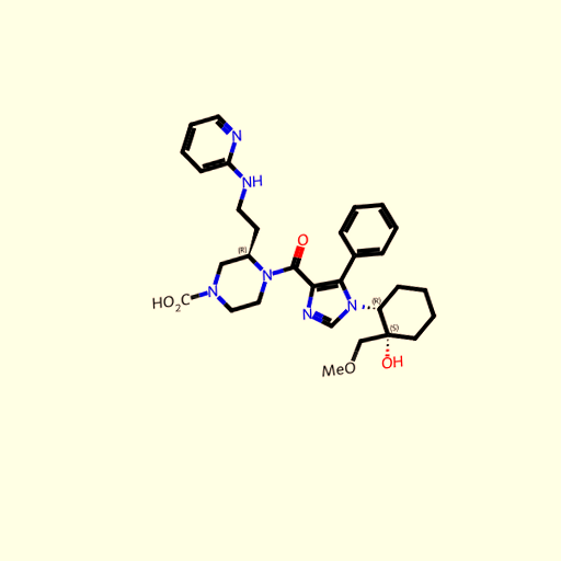 COC[C@]1(O)CCCC[C@H]1n1cnc(C(=O)N2CCN(C(=O)O)C[C@H]2CCNc2ccccn2)c1-c1ccccc1